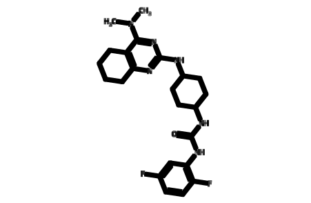 CN(C)c1nc(NC2CCC(NC(=O)Nc3cc(F)ccc3F)CC2)nc2c1CCCC2